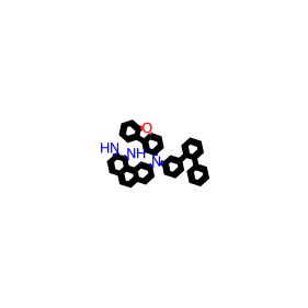 N=C1C=Cc2ccc3ccc(N(c4cccc(-c5ccccc5-c5ccccc5)c4)c4ccc5oc6ccccc6c5c4)cc3c2C1=N